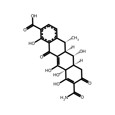 C[C@H]1c2ccc(C(=O)O)c(O)c2C(=O)C2=C(O)[C@]3(O)C(O)=C(C(N)=O)C(=O)C[C@@H]3[C@@H](O)[C@@H]21